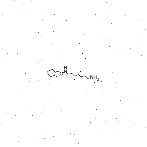 NCCCCCCCNOCC1CCCCC1